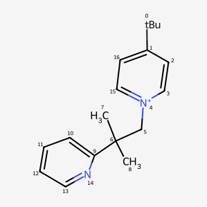 CC(C)(C)c1cc[n+](CC(C)(C)c2ccccn2)cc1